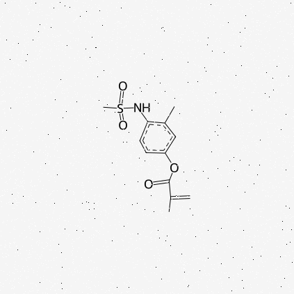 C=C(C)C(=O)Oc1ccc(NS(C)(=O)=O)c(C)c1